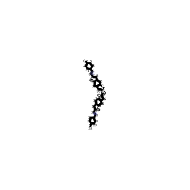 Cc1ccc(/C=C/c2cc3cc4sc(Oc5cc6cc7sc(/C=C/c8ccc(C)cc8)cc7cc6s5)cc4cc3s2)cc1